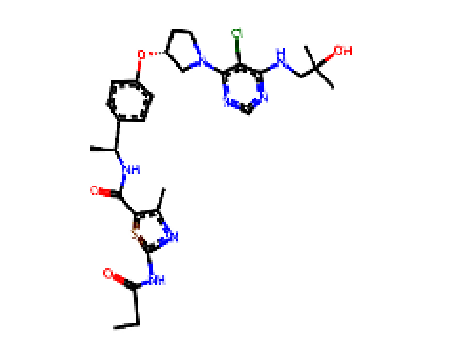 CCC(=O)Nc1nc(C)c(C(=O)N[C@@H](C)c2ccc(O[C@@H]3CCN(c4ncnc(NCC(C)(C)O)c4Cl)C3)cc2)s1